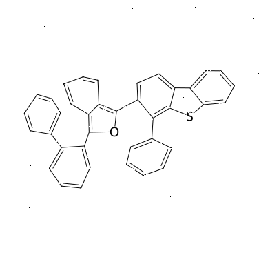 c1ccc(-c2ccccc2-c2oc(-c3ccc4c(sc5ccccc54)c3-c3ccccc3)c3ccccc23)cc1